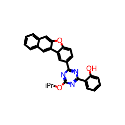 CC(C)Oc1nc(-c2ccc3oc4cc5ccccc5cc4c3c2)nc(-c2ccccc2O)n1